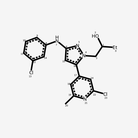 CCC(O)Cn1nc(Nc2cccc(Cl)c2)cc1-c1cc(C)nc(Cl)c1